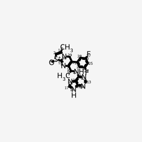 CC1=C[S+]([O-])C2=NC(C(C)Nc3ncnc4[nH]cnc34)=C(c3cc(F)cc(F)c3)CN12